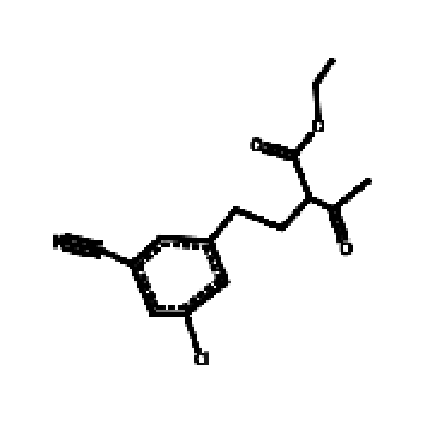 CCOC(=O)C(CCc1cc(Cl)cc(C#N)c1)C(C)=O